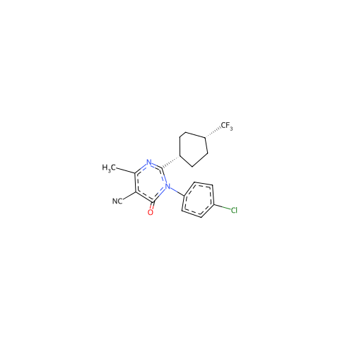 Cc1nc([C@H]2CC[C@@H](C(F)(F)F)CC2)n(-c2ccc(Cl)cc2)c(=O)c1C#N